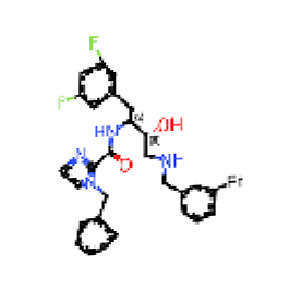 CCc1cccc(CNC[C@@H](O)[C@H](Cc2cc(F)cc(F)c2)NC(=O)c2nccn2Cc2ccccc2)c1